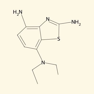 CCN(CC)c1ccc(N)c2nc(N)sc12